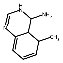 CC1C=CC=C2N=CNC(N)C21